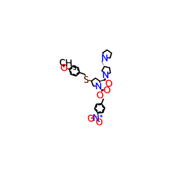 COc1ccc(CS[C@H]2C[C@@H](C(=O)N3CC[C@@H](CN4CCCC4)C3)N(C(=O)OCc3ccc([N+](=O)[O-])cc3)C2)cc1